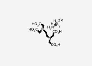 N.N.O.O.O=C(O)CN(CCN(CC(=O)O)CC(=O)O)CC(=O)O.[Fe]